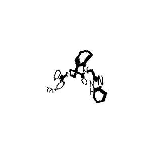 CC(C)OC(=O)N1CC2(C1)C(=O)N(Cc1nc3c([nH]1)CCCC3)c1ccccc12